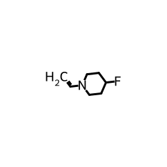 C=CN1CCC(F)CC1